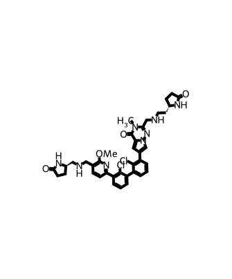 COc1nc(-c2cccc(-c3cccc(-c4cc5c(=O)n(C)c(CNCC[C@@H]6CCC(=O)N6)nn5c4)c3Cl)c2Cl)ccc1CNC[C@H]1CCC(=O)N1